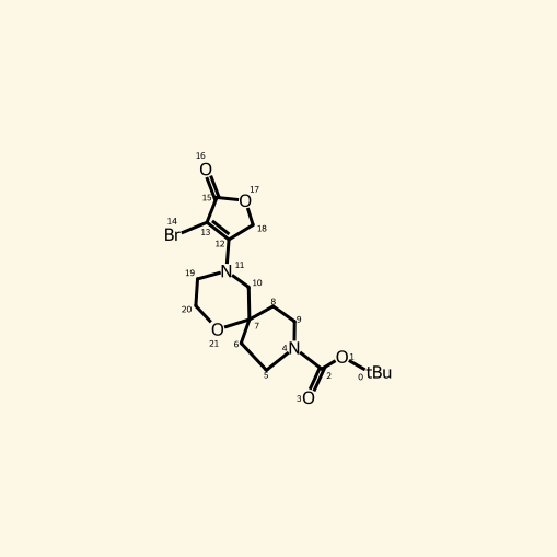 CC(C)(C)OC(=O)N1CCC2(CC1)CN(C1=C(Br)C(=O)OC1)CCO2